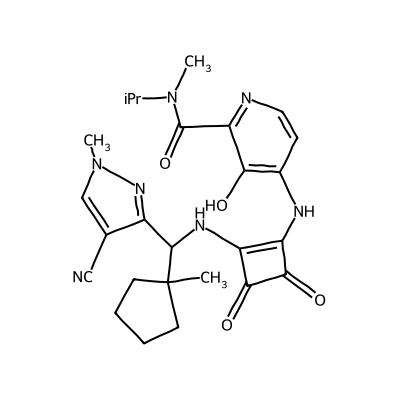 CC(C)N(C)C(=O)c1nccc(Nc2c(NC(c3nn(C)cc3C#N)C3(C)CCCC3)c(=O)c2=O)c1O